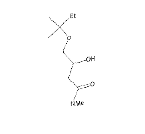 CCC(C)(C)OCC(O)CC(=O)NC